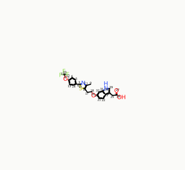 Cc1nc(-c2ccc(OC(F)(F)F)cc2)sc1CCOc1ccc2c(CC(=O)O)c[nH]c2c1